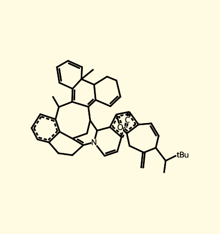 C=C1Cc2oc3c4c(ccc3c2C=CC1C(C)C(C)(C)C)C=CN1C2=C3CC(C5=C6C=CCCC6C6(C)C=CC=CC6=C5C(C)c5cccc(c53)CC2)C41